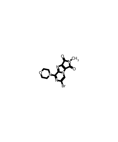 CN1C(=O)c2nc3c(N4CCOCC4)nc(Br)cn3c2C1=O